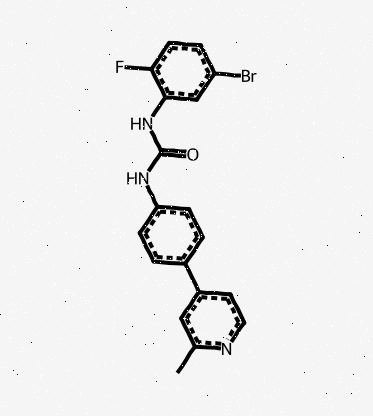 Cc1cc(-c2ccc(NC(=O)Nc3cc(Br)ccc3F)cc2)ccn1